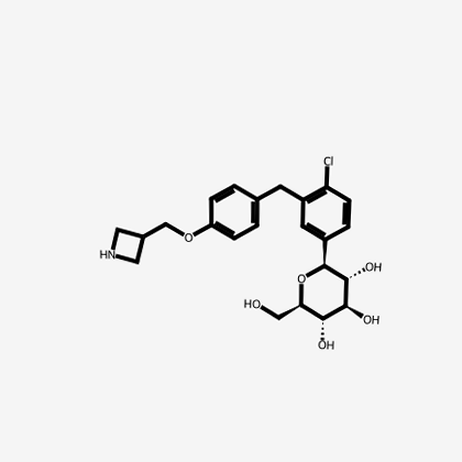 OC[C@H]1O[C@@H](c2ccc(Cl)c(Cc3ccc(OCC4CNC4)cc3)c2)[C@H](O)[C@@H](O)[C@@H]1O